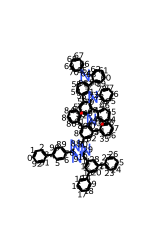 c1ccc(-c2ccc(-c3nc(-c4cc(-c5ccccc5)cc(-c5ccccc5)c4)nc(-c4cc(-c5ccccc5)c(-n5c6ccccc6c6c5ccc5c7ccc8c(c9ccccc9n8-c8ccccc8)c7n(-c7ccccc7)c56)c(-c5ccccc5)c4)n3)cc2)cc1